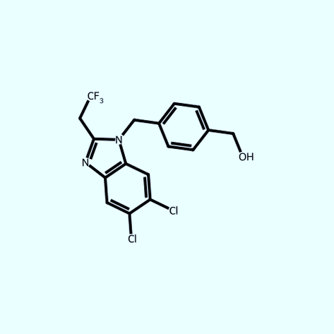 OCc1ccc(Cn2c(CC(F)(F)F)nc3cc(Cl)c(Cl)cc32)cc1